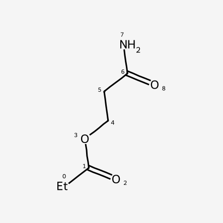 CCC(=O)OCCC(N)=O